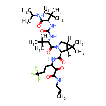 C=CCNC(=O)C(=O)C(CCC(F)(F)F)NC(=O)[C@@H]1[C@@H]2[C@H](CN1C(=O)[C@@H](NC(=O)N[C@H](C(=O)NC(C)C)C(C)(C)C)C(C)(C)C)C2(C)C